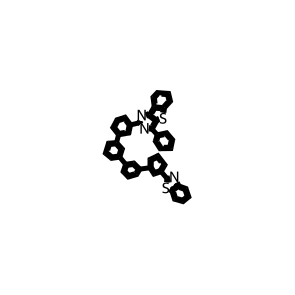 c1ccc(-c2nc(-c3cccc(-c4cccc(-c5cccc(-c6cccc(-c7nc8ccccc8s7)c6)c5)c4)c3)nc3c2sc2ccccc23)cc1